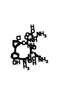 NC[C@H](O)C[C@@H]1NC(=O)[C@@H](N)Cc2cc(ccc2O)-c2ccc(Cl)c(c2)C[C@@H](C(=O)N[C@@H](CN)C(=O)O)NC1=O